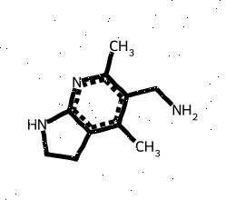 Cc1nc2c(c(C)c1CN)CCN2